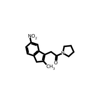 CC1=C(CC(=O)N2CCCC2)c2cc([N+](=O)[O-])ccc2C1